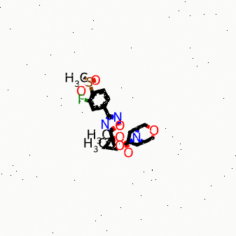 C[C@@H](OC1CC2COCC(C1)N2C(=O)OC1(C)CC1)c1nc(-c2ccc(S(C)(=O)=O)c(F)c2)no1